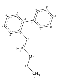 CCO[SiH2]Cc1ccccc1-c1ccccc1